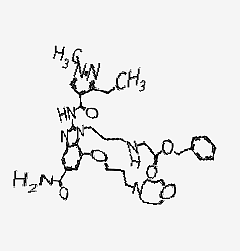 CCc1nn(C)cc1C(=O)Nc1nc2cc(C(N)=O)cc(OCCCN3CCOCC3)c2n1CCCNCC(=O)OCc1ccccc1